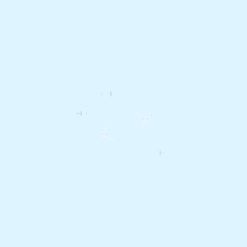 [CH2]C1COC(C)(C)CO1